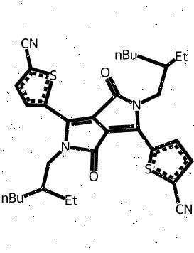 CCCCC(CC)CN1C(=O)C2=C(c3ccc(C#N)s3)N(CC(CC)CCCC)C(=O)C2=C1c1ccc(C#N)s1